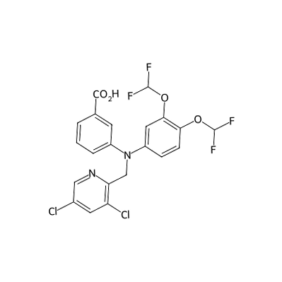 O=C(O)c1cccc(N(Cc2ncc(Cl)cc2Cl)c2ccc(OC(F)F)c(OC(F)F)c2)c1